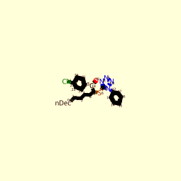 CCCCCCCCCCCCCCC(Sc1nnnn1-c1ccccc1)[13C](=O)c1ccc(Cl)cc1